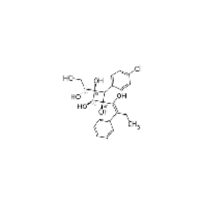 CCC(=C(O)[C@@]1(O)C(c2ccc(Cl)cc2)[C@@](O)([C@H](O)CO)[C@@H]1O)c1ccccc1